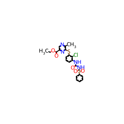 CCOC(=O)c1cnc(C)c(Sc2cccc(NC(=O)NS(=O)(=O)c3ccccc3)c2Cl)n1